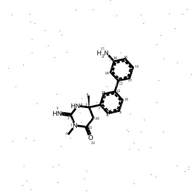 CN1C(=N)N[C@](C)(c2cccc(-c3cccc(N)c3)c2)CC1=O